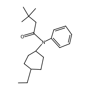 CCC1CCC(N(C(=O)CC(C)(C)C)c2ccccc2)CC1